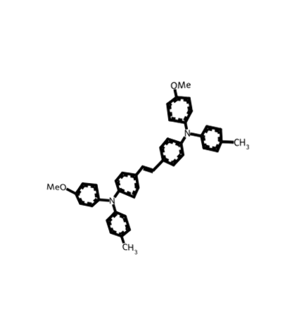 COc1ccc(N(c2ccc(C)cc2)c2ccc(C=Cc3ccc(N(c4ccc(C)cc4)c4ccc(OC)cc4)cc3)cc2)cc1